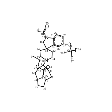 CCOC(=O)N1C2CCC(N3CCC4(CC3)CN(C(C)=O)c3ccc(OC(F)(F)F)cc34)CCC1CC2